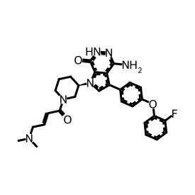 CN(C)CC=CC(=O)N1CCC[C@@H](n2cc(-c3ccc(Oc4ccccc4F)cc3)c3c(N)n[nH]c(=O)c32)C1